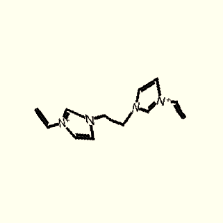 C=C[n+]1ccn(CCn2cc[n+](C=C)c2)c1